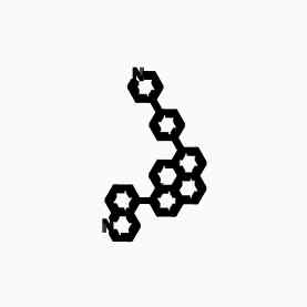 c1cc(-c2ccc3ccc4ccc(-c5ccc(-c6ccncc6)cc5)c5ccc2c3c45)c2cccnc2c1